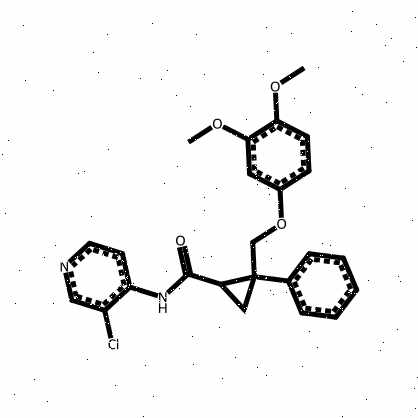 COc1ccc(OCC2(c3ccccc3)CC2C(=O)Nc2ccncc2Cl)cc1OC